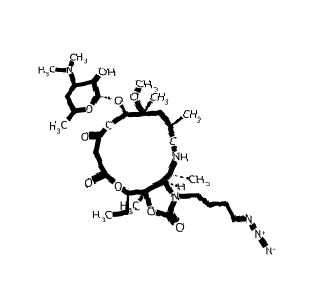 CC[C@H]1OC(=O)CC(=O)C[C@@H](O[C@@H]2OC(C)CC(N(C)C)C2O)[C@](C)(OC)C[C@@H](C)CN[C@H](C)[C@H]2N(CCCCN=[N+]=[N-])C(=O)O[C@]12C